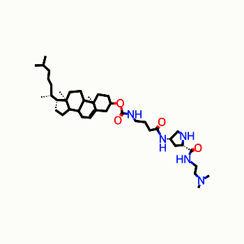 CC(C)CCC[C@@H](C)[C@H]1CCC2C3CC=C4CC(OC(=O)NCCCC(=O)N[C@@H]5CN[C@H](C(=O)NCCN(C)C)C5)CC[C@]4(C)C3CC[C@@]21C